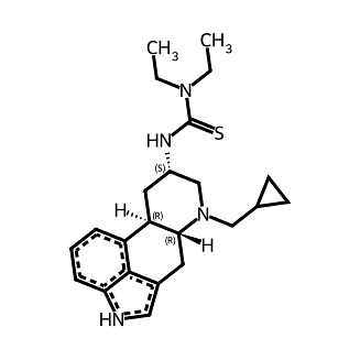 CCN(CC)C(=S)N[C@H]1C[C@@H]2c3cccc4[nH]cc(c34)C[C@H]2N(CC2CC2)C1